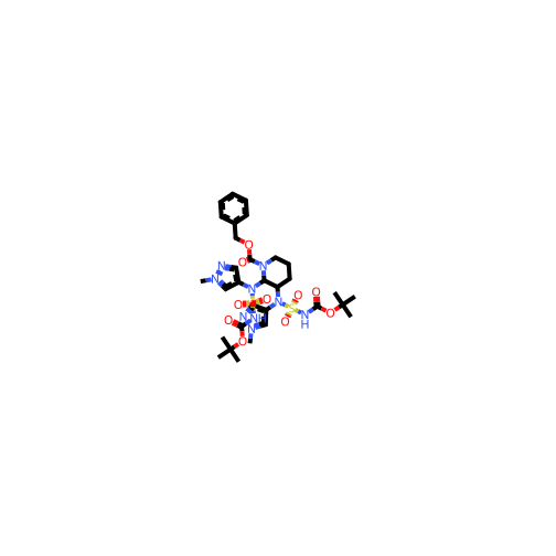 Cn1cc(N(C2CCCN(C(=O)OCc3ccccc3)C2N(c2cnn(C)c2)S(=O)(=O)NC(=O)OC(C)(C)C)S(=O)(=O)NC(=O)OC(C)(C)C)cn1